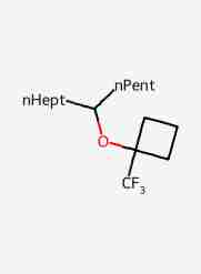 CCCCCCCC(CCCCC)OC1(C(F)(F)F)CCC1